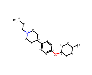 CC[C@H]1CC[C@@H](Oc2ccc(C3CCN(CCC(=O)O)CC3)cc2)CC1